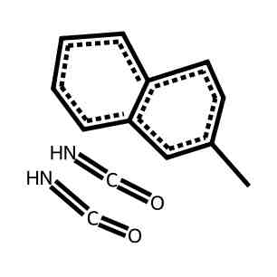 Cc1ccc2ccccc2c1.N=C=O.N=C=O